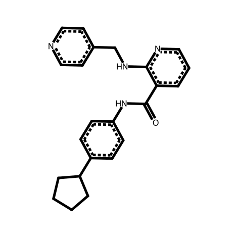 O=C(Nc1ccc(C2CCCC2)cc1)c1cccnc1NCc1ccncc1